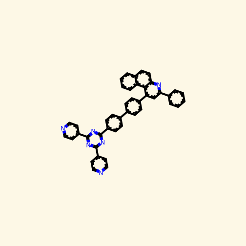 c1ccc(-c2cc(-c3ccc(-c4ccc(-c5nc(-c6ccncc6)nc(-c6ccncc6)n5)cc4)cc3)c3c(ccc4ccccc43)n2)cc1